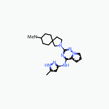 CNC1CCC2(CC1)CCN(c1nc(Nc3cc(C)[nH]n3)c3cccn3n1)C2